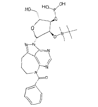 CC(C)(C)[Si](C)(C)O[C@@H]1[C@H](OP(O)O)[C@@H](CO)O[C@H]1n1nc2c3c(ncnc31)N(C(=O)c1ccccc1)CCC2